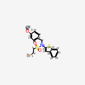 O=S(=O)(CCBr)N(Cc1ccc(OC(F)(F)F)cc1)c1cc2ccccc2s1